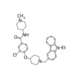 CCn1c2ccccc2c2cc(CN3CCC(Oc4ccc(C(=O)NC5CCN(C)CC5)cc4Cl)CC3)ccc21